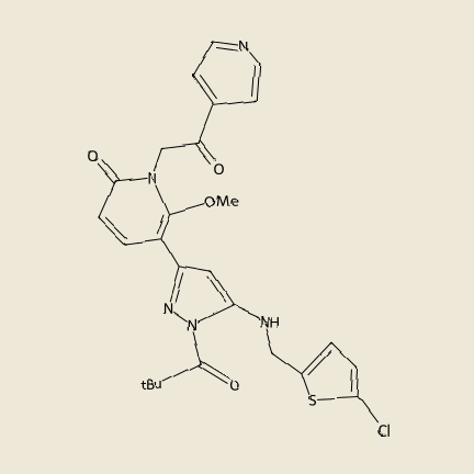 COc1c(-c2cc(NCc3ccc(Cl)s3)n(C(=O)C(C)(C)C)n2)ccc(=O)n1CC(=O)c1ccncc1